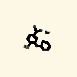 Cc1ccc(C(=O)[O-])cc1Oc1ccccc1.[Na+]